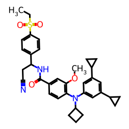 CCS(=O)(=O)c1ccc(C(CC#N)NC(=O)c2ccc(N(c3cc(C4CC4)cc(C4CC4)c3)C3CCC3)c(OC)c2)cc1